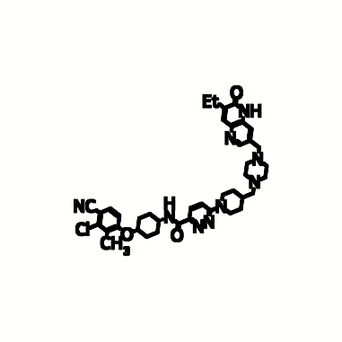 CCc1cc2ncc(CN3CCN(CC4CCN(c5ccc(C(=O)N[C@H]6CC[C@H](Oc7ccc(C#N)c(Cl)c7C)CC6)nn5)CC4)CC3)cc2[nH]c1=O